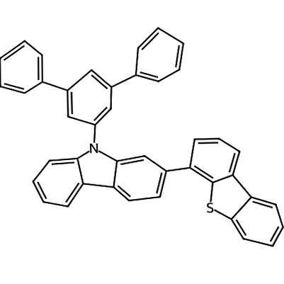 c1ccc(-c2cc(-c3ccccc3)cc(-n3c4ccccc4c4ccc(-c5cccc6c5sc5ccccc56)cc43)c2)cc1